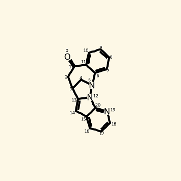 O=C1CC2CN(c3ccccc31)n1c2cc2cccnc21